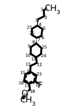 CCCC[C@H]1CC[C@H](C2CCC(CCc3ccc(COC)c(F)c3)CC2)CC1